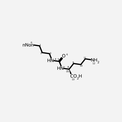 CCCCCCCCCCCCNC(=O)N[C@@H](CCCN)C(=O)O